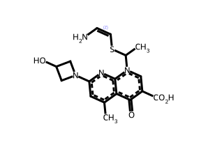 Cc1cc(N2CC(O)C2)nc2c1c(=O)c(C(=O)O)cn2C(C)S/C=C\N